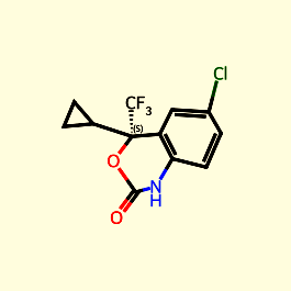 O=C1Nc2ccc(Cl)cc2[C@@](C2CC2)(C(F)(F)F)O1